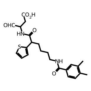 Cc1ccc(C(=O)NCCCCC(C(=O)NC(C=O)CC(=O)O)c2cccs2)cc1C